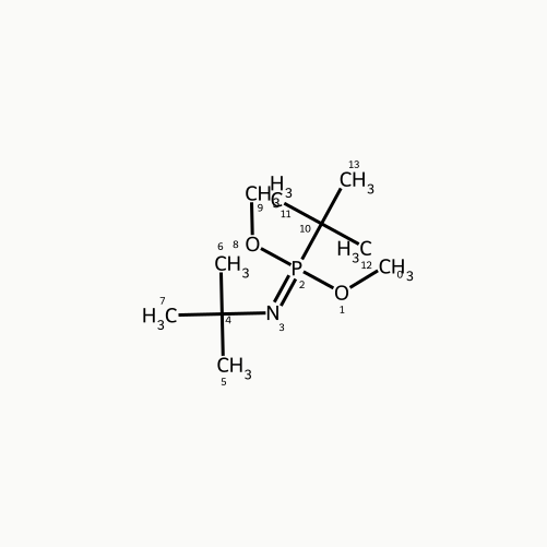 COP(=NC(C)(C)C)(OC)C(C)(C)C